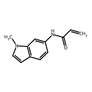 C=CC(=O)Nc1ccc2ccn(C)c2c1